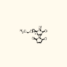 CCC.O=C1C=CC(=O)N1.O=C1C=CC(=O)N1